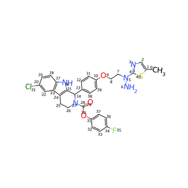 Cc1cnc(N(N)CCOc2ccc(C3c4[nH]c5ccc(Cl)cc5c4CCN3C(=O)Oc3ccc(F)cc3)cc2)s1